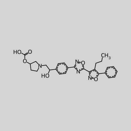 CCCc1c(-c2nc(-c3ccc(C(O)CN4CCC(OC(=O)O)C4)cc3)no2)noc1-c1ccccc1